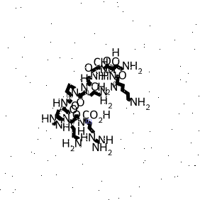 CC(NC(=O)[C@@H](NC(=O)[C@@H](N)CCCCN)[C@@H](O)CN)C(=O)NCC(=O)N[C@H](CCCN)C(=O)N1CCC[C@H]1C(=O)N[C@@H](Cc1cnc[nH]1)C(=O)N[C@@H](CCCCN)C(=O)N/C(=C\CCNC(=N)N)C(=O)O